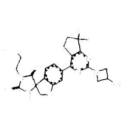 CCCN1C(=O)NC2(COc3cc(-c4nc(N5CC(O)C5)nc5c4CCC5(F)F)ccc32)C1=O